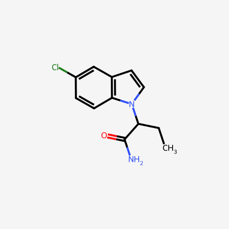 CCC(C(N)=O)n1ccc2cc(Cl)ccc21